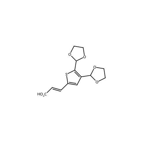 O=C(O)C=Cc1cc(C2OCCO2)c(C2OCCO2)s1